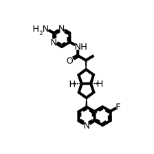 CC(C(=O)Nc1cnc(N)nc1)[C@H]1C[C@H]2C[C@@H](c3ccnc4ccc(F)cc34)C[C@H]2C1